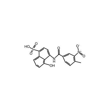 Cc1ccc(C(=O)Nc2ccc(S(=O)(=O)O)c3cccc(O)c23)cc1[N+](=O)[O-]